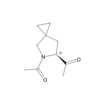 CC(=O)[C@@H]1CC2(CC2)CN1C(C)=O